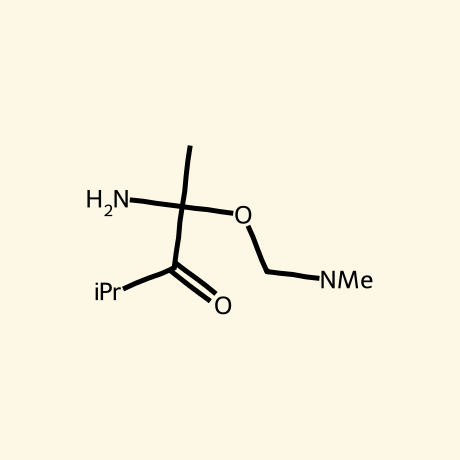 CNCOC(C)(N)C(=O)C(C)C